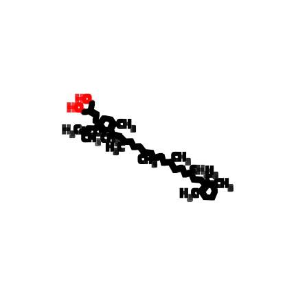 CC(C)=CCC1(CC=C(CO)CO)CCC(C)=C(/C=C/C(C)=C/C=C/C(C)=C/C=C/C=C(C)/C=C/C=C(C)/C=C/C2=C(C)CCCC2(C)C)C1(C)C